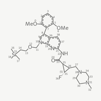 COc1cccc(OC)c1-c1cn(COCC[Si](C)(C)C)c2nc(NC(=O)C3C(CN4CCN(C)CC4)[C@@H]3F)ccc12